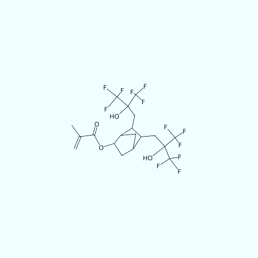 C=C(C)C(=O)OC1CC2CC1C(CC(O)(C(F)(F)F)C(F)(F)F)C2CC(O)(C(F)(F)F)C(F)(F)F